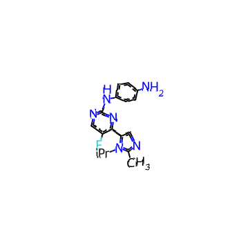 Cc1ncc(-c2nc(Nc3ccc(N)cc3)ncc2F)n1C(C)C